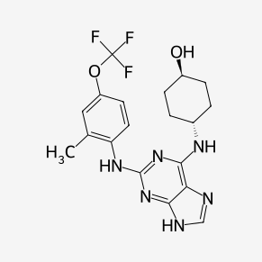 Cc1cc(OC(F)(F)F)ccc1Nc1nc(N[C@H]2CC[C@H](O)CC2)c2nc[nH]c2n1